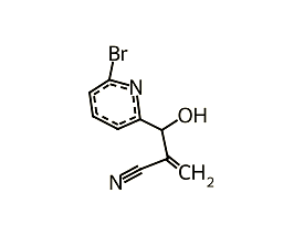 C=C(C#N)C(O)c1cccc(Br)n1